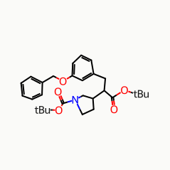 CC(C)(C)OC(=O)C(Cc1cccc(OCc2ccccc2)c1)C1CCN(C(=O)OC(C)(C)C)C1